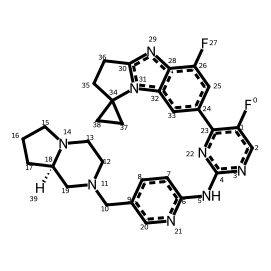 Fc1cnc(Nc2ccc(CN3CCN4CCC[C@@H]4C3)cn2)nc1-c1cc(F)c2nc3n(c2c1)C1(CC3)CC1